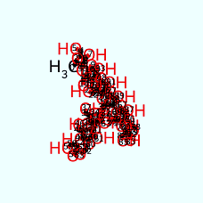 CC1OC(CO)C(O)C(OC2OC(CO)C(O)C(OC3OC(CO)C(O)C(OC4OC(COC5OC(CO)C(O)C(OC6OC(CO)C(O)C(OC(C=O)OC(C=O)CO)C6O)C5O)C(O)C(OC5OC(CO)C(O)C(OC(C=O)OC(C=O)CO)C5O)C4O)C3O)C2O)C1O